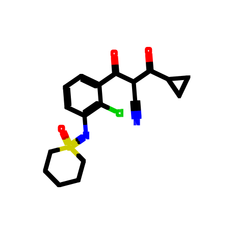 N#CC(C(=O)c1cccc(N=S2(=O)CCCCC2)c1Cl)C(=O)C1CC1